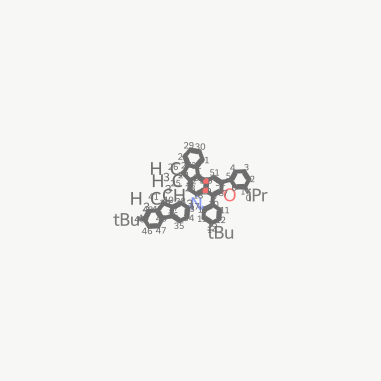 CC(C)c1cccc2c1oc1c(-c3ccc(C(C)(C)C)cc3N(c3ccc4c(c3)C(C)(C)c3ccccc3-4)c3ccc4c(c3)C(C)(C)c3cc(C(C)(C)C)ccc3-4)cccc12